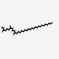 CCCCCCCCCCCCCCCCCCCCCCC(C)CCCC(C)CCCC(C)CC